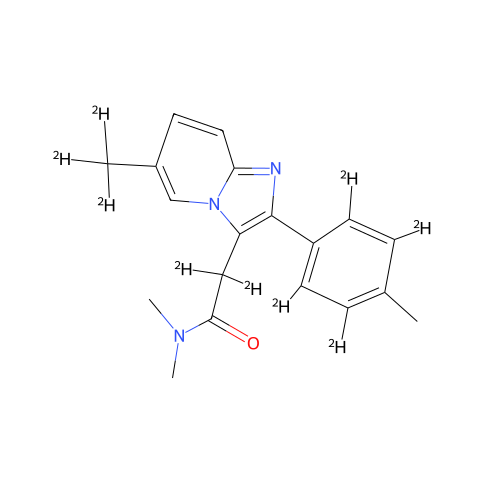 [2H]c1c([2H])c(-c2nc3ccc(C([2H])([2H])[2H])cn3c2C([2H])([2H])C(=O)N(C)C)c([2H])c([2H])c1C